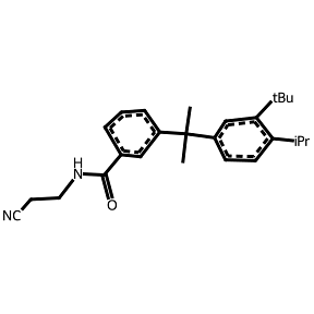 CC(C)c1ccc(C(C)(C)c2cccc(C(=O)NCCC#N)c2)cc1C(C)(C)C